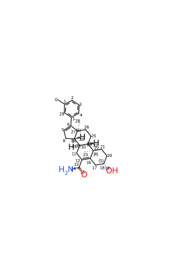 Cc1cccc(C2=CC[C@H]3[C@@H]4CC(C(N)=O)=C5C[C@@H](O)CC[C@]5(C)[C@H]4CC[C@]23C)c1